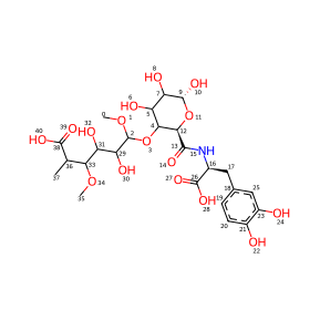 COC(OC1C(O)C(O)[C@H](O)O[C@H]1C(=O)N[C@@H](Cc1ccc(O)c(O)c1)C(=O)O)C(O)C(O)C(OC)C(C)C(=O)O